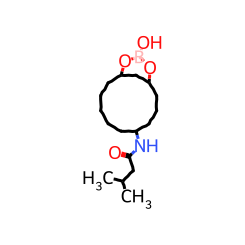 CC(C)CC(=O)NC1CCCCCC2CC(CCC1)OB(O)O2